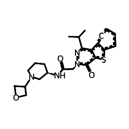 CC(C)c1nn(CC(=O)N[C@@H]2CCCN(C3COC3)C2)c(=O)c2sc3ccccc3c12